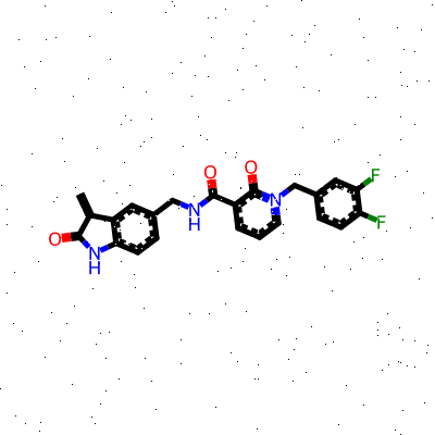 C=C1C(=O)Nc2ccc(CNC(=O)c3cccn(Cc4ccc(F)c(F)c4)c3=O)cc21